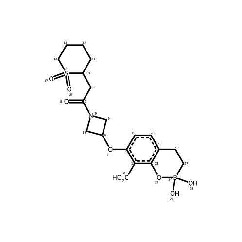 O=C(O)c1c(OC2CN(C(=O)CC3CCCCS3(=O)=O)C2)ccc2c1O[B-](O)(O)CC2